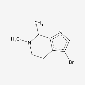 CC1c2scc(Br)c2CCN1C